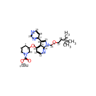 CC(C)(C)OC(=O)N1CCC[C@@H](Oc2ccnc3c2c(-c2ccncn2)cn3COCC[Si](C)(C)C)C1